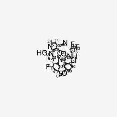 C[S@+]([O-])c1cc(F)cc(N(C(=O)[C@@H]2CCC(O)N2c2cc(C#N)ccn2)[C@H](C(=O)NC2CC(F)(F)C2)c2ccccc2Cl)c1